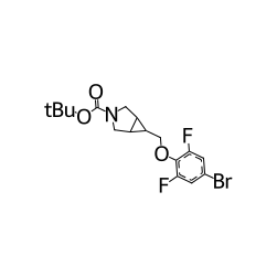 CC(C)(C)OC(=O)N1CC2C(COc3c(F)cc(Br)cc3F)C2C1